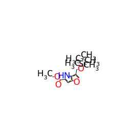 CCOC(=O)c1cc2occ(CO[Si](C)(C)C(C)(C)C)c2[nH]1